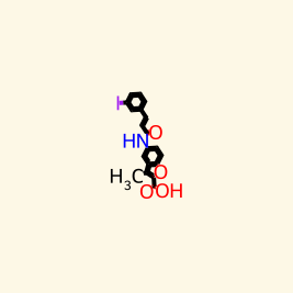 Cc1c(C(=O)O)oc2ccc(NC(=O)C=Cc3cccc(I)c3)cc12